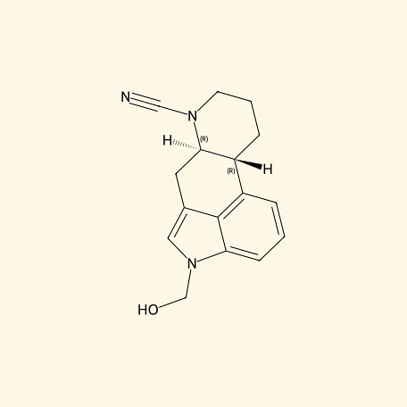 N#CN1CCC[C@@H]2c3cccc4c3c(cn4CO)C[C@H]21